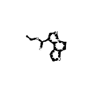 CCOC(=O)c1cnn2ccc3occc3c12